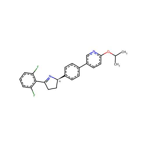 CC(C)Oc1ccc(-c2ccc([C@H]3CCC(c4c(F)cccc4F)=N3)cc2)cn1